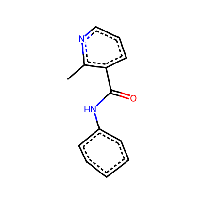 Cc1ncccc1C(=O)Nc1ccccc1